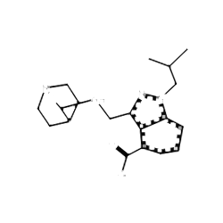 CC(C)Cn1nc(CNC2CN3CCC2CC3)c2c(C(=O)O)cccc21